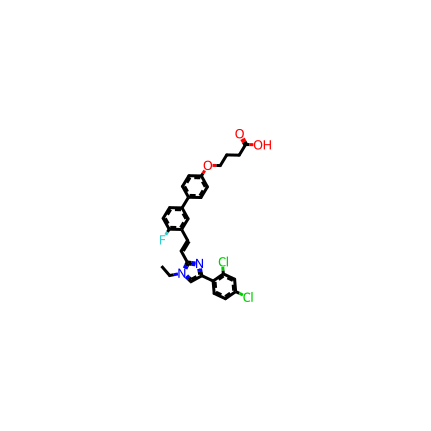 CCn1cc(-c2ccc(Cl)cc2Cl)nc1C=Cc1cc(-c2ccc(OCCCC(=O)O)cc2)ccc1F